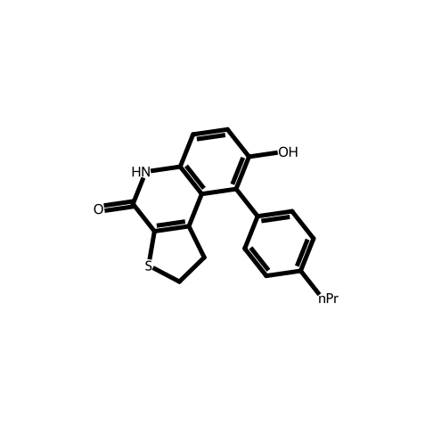 CCCc1ccc(-c2c(O)ccc3[nH]c(=O)c4c(c23)CCS4)cc1